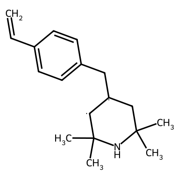 C=Cc1ccc(C[C]2[CH]C(C)(C)NC(C)(C)C2)cc1